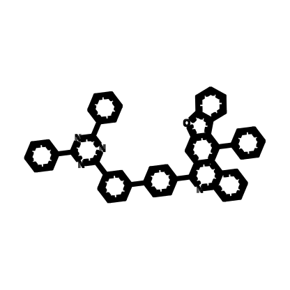 c1ccc(-c2nc(-c3ccccc3)nc(-c3cccc(-c4ccc(-c5nc6ccccc6c6c(-c7ccccc7)c7c(cc56)oc5ccccc57)cc4)c3)n2)cc1